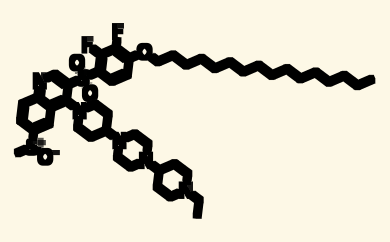 CCCCCCCCCCCCCCCCOc1ccc(S(=O)(=O)c2cnc3ccc([S+](C)[O-])cc3c2N2CCC(N3CCN(C4CCN(CC)CC4)CC3)CC2)c(F)c1F